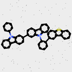 c1ccc(-n2c3ccccc3c3ccc(-c4ccc5c6ccccc6n(-c6ccccc6-c6ccc7sc8ccccc8c7c6)c5c4)cc32)cc1